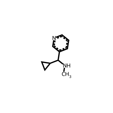 CNC(c1cccnc1)C1CC1